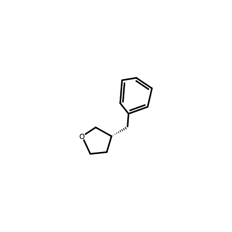 c1ccc(C[C@@H]2CCOC2)cc1